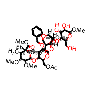 CCC1(C(=O)OC)O[C@@H](O[C@@H]2C(COC(C)=O)O[C@@H](O[C@H]3C(OC)[C@H]4OCC3(C(=O)OC)O[C@H]4O[C@@H]3C(CO)O[C@H](OC)C(O)[C@H]3O)C(OCc3ccccc3)[C@H]2OC(C)=O)C(OC)[C@@H](OC)[C@@H]1C